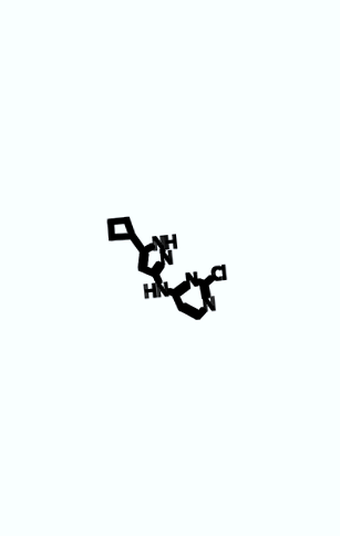 Clc1nccc(Nc2cc(C3CCC3)[nH]n2)n1